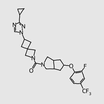 O=C(N1CC2CC(Oc3ccc(C(F)(F)F)cc3F)CC2C1)N1CC2(CC(n3cnc(C4CC4)n3)C2)C1